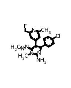 C=N/N=c1/c(-c2cc(C)nc(CF)c2)c(-c2ccc(Cl)cc2)nc(N)n1C